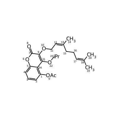 CC(=O)Oc1cccc2oc(=O)c(OCC=C(C)CCC=C(C)C)c(OC(C)C)c12